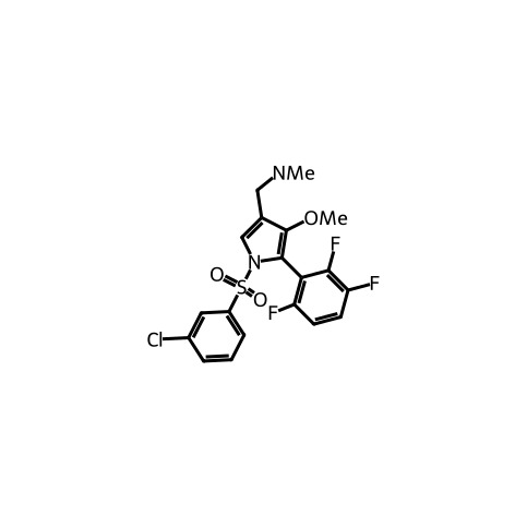 CNCc1cn(S(=O)(=O)c2cccc(Cl)c2)c(-c2c(F)ccc(F)c2F)c1OC